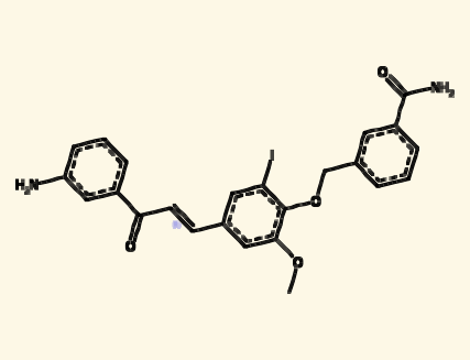 COc1cc(/C=C/C(=O)c2cccc(N)c2)cc(I)c1OCc1cccc(C(N)=O)c1